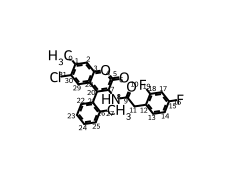 Cc1cc2oc(=O)c(NC(=O)Cc3ccc(F)cc3F)c(-c3ccccc3C)c2cc1Cl